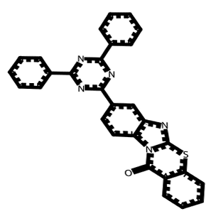 O=c1c2ccccc2sc2nc3cc(-c4nc(-c5ccccc5)nc(-c5ccccc5)n4)ccc3n12